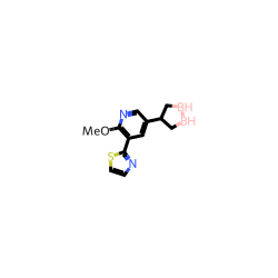 COc1ncc(C2CBBC2)cc1-c1nccs1